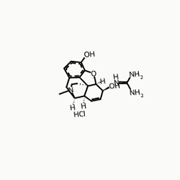 CN1CC[C@]23c4c5ccc(O)c4O[C@H]2[C@@H](O)C=C[C@H]3[C@H]1C5.Cl.N=C(N)N